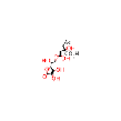 CC(=O)CC(O)(CC(O)OC[C@H](O)[C@H]1OC(=O)C(O)=C1O)C(=O)O